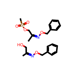 CC(CO)=NOCc1ccccc1.CC(COS(C)(=O)=O)=NOCc1ccccc1